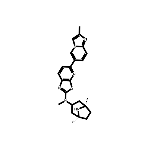 Cc1cn2cc(-c3ccc4nc(N(C)C5C[C@]6(C)CC[C@](C)(C5)N6)sc4n3)ccc2n1